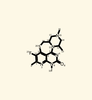 Cc1nc2c3c(nc(=O)n2I)N2C(C)CN(C)CC2CSc3c1F